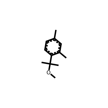 COC(C)(C)c1ccc(C)cc1C